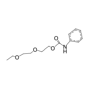 CCOCCOCCOC(=O)Nc1ccccc1